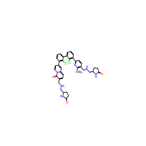 COc1nc(-c2cccc(-c3cccc(-c4ccn5c(=O)c(CNCC6CCC(=O)N6)ccc5c4)c3Cl)c2Cl)ccc1CNCC1CCC(=O)N1